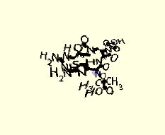 CC(C)(O/N=C(\C(=O)N[C@@H]1C(=O)N(S(=O)(=O)O)[C@@H]1CN1C[C@@H](CNC(=N)N)OC1=O)c1csc(N)n1)C(=O)O